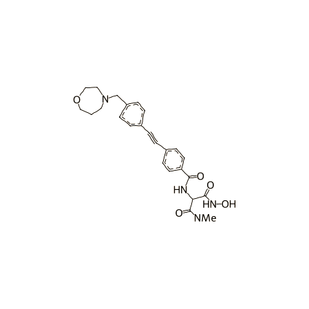 CNC(=O)C(NC(=O)c1ccc(C#Cc2ccc(CN3CCCOCC3)cc2)cc1)C(=O)NO